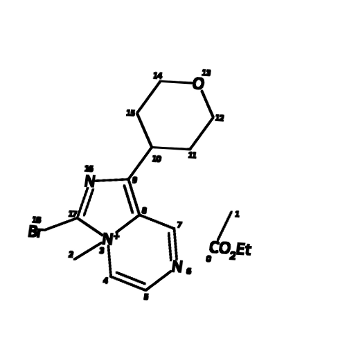 CCOC(C)=O.C[N+]12C=CN=CC1=C(C1CCOCC1)N=C2Br